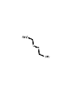 O=CCSSCC=O